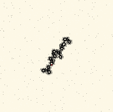 c1ccc(-c2nc(-c3ccc4c(c3)oc3cc(-c5cccc6sc7ccccc7c56)ccc34)nc(-c3cccc4sc5c(-c6cccc7c6oc6ccc(-c8ccc9c(c8)c8ccccc8n9-c8ccccc8)cc67)cccc5c34)n2)cc1